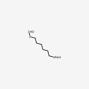 [CH2]CCCCCCCCC[CH]OC=O